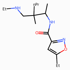 CCCC(C)(CNCC)C(C)NC(=O)c1cc(CC)on1